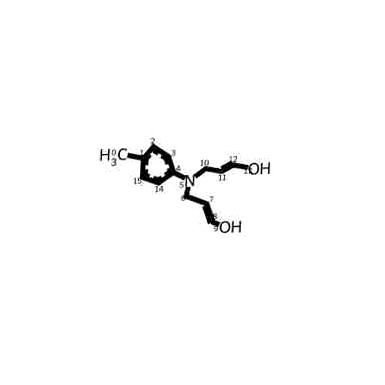 Cc1ccc(N(CC=CO)CC=CO)cc1